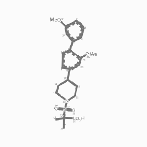 COc1cccc(-c2ccc(C3CCN(S(=O)(=O)C(C)(C)C(=O)O)CC3)cc2OC)c1